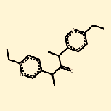 CCc1ccc(C(C)C(=O)C(C)c2ccc(CC)nc2)cn1